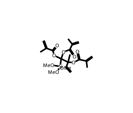 C=CC(C)(OC(=O)C(=C)C)C(OC(=O)C(=C)C)(OC(=O)C(=C)C)[Si](OC)(OC)OC